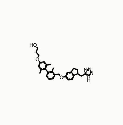 Cc1cc(OCCCO)cc(C)c1-c1cccc(COc2ccc3c(c2)CCC3Cc2nnn[nH]2)c1C